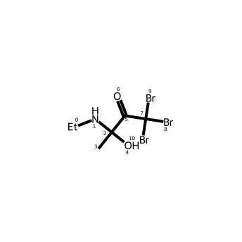 CCNC(C)(O)C(=O)C(Br)(Br)Br